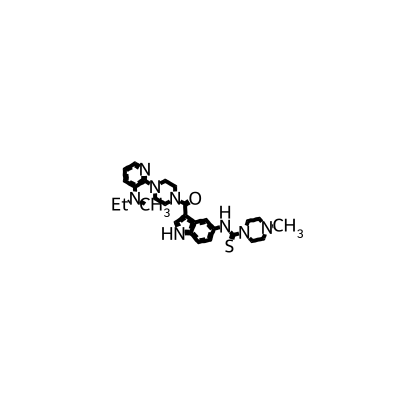 CCN(C)c1cccnc1N1CCN(C(=O)c2c[nH]c3ccc(NC(=S)N4CCN(C)CC4)cc23)CC1